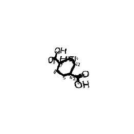 Cl.O=C(O)C1CCC(C(=O)O)CC1